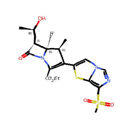 CCOC(=O)C1=C(c2cn3cnc(S(C)(=O)=O)c3s2)[C@H](C)[C@@H]2[C@@H]([C@@H](C)O)C(=O)N12